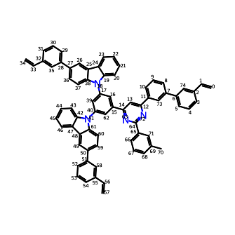 C=Cc1cccc(-c2cccc(-c3cc(-c4cc(-n5c6ccccc6c6cc(-c7cccc(C=C)c7)ccc65)cc(-n5c6ccccc6c6cc(-c7cccc(C=C)c7)ccc65)c4)nc(-c4cccc(C)c4)n3)c2)c1